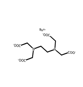 O=C([O-])CN(CCN(CC(=O)[O-])CC(=O)[O-])CC(=O)[O-].[Ru+4]